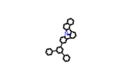 c1ccc(-c2cc(-c3ccccc3)cc(-c3ccc4c(c3)c3cccc5c6c7ccccc7ccc6n4c35)c2)cc1